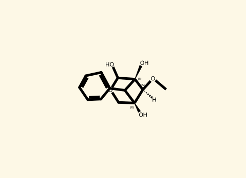 CO[C@@H]1[C@@]2(O)C(O)OC[C@]1(O)C2c1ccccc1